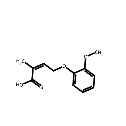 COc1ccccc1OCC=C(C)C(O)=S